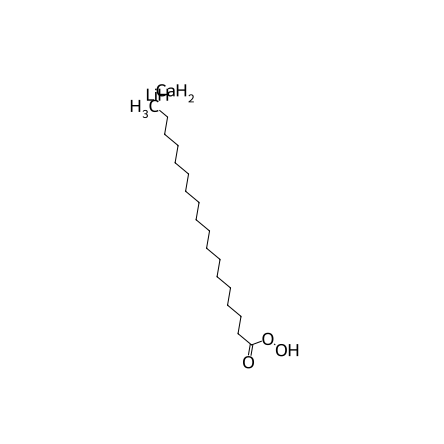 CCCCCCCCCCCCCCCCCC(=O)OO.[CaH2].[LiH]